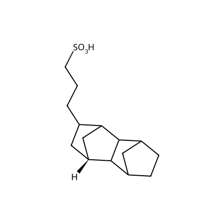 O=S(=O)(O)CCCC1C[C@@H]2CC1C1C3CCC(C3)C12